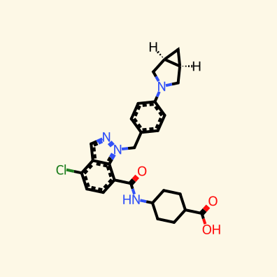 O=C(NC1CCC(C(=O)O)CC1)c1ccc(Cl)c2cnn(Cc3ccc(N4C[C@H]5C[C@H]5C4)cc3)c12